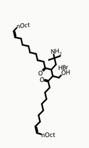 Br.CCCCCCCC/C=C\CCCCCCCC(=O)C(CO)C(CC(C)(C)N)C(=O)CCCCCCC/C=C\CCCCCCCC